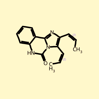 C/C=C\c1nc2c3ccccc3[nH]c(=O)n2c1/C=C\C